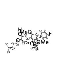 COc1cc(-c2ccc(F)cc2)c(OC)c(OS(C)(=O)=O)c1-c1ccc(OCCC=C(C)C)c(O)c1